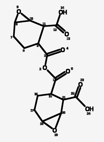 O=C(OC(=O)C1CCC2OC2C1C(=O)O)C1CCC2OC2C1C(=O)O